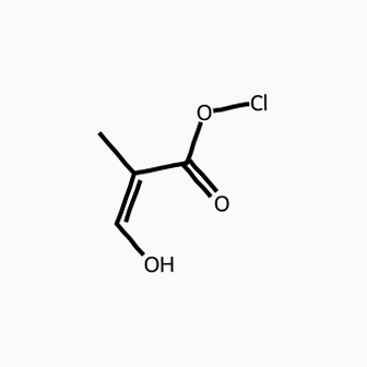 CC(=CO)C(=O)OCl